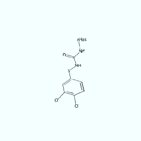 CCCCCCNC(=O)NSc1ccc(Cl)c(Cl)c1